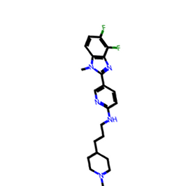 CN1CCC(CCCNc2ccc(-c3nc4c(F)c(F)ccc4n3C)cn2)CC1